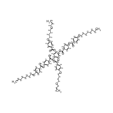 C=CCOCCCCOc1ccc(C(=O)Oc2cc(OC(=O)c3ccc(OC(=O)c4ccc(OCCCCCCCC)cc4)cc3)c(OC(=O)c3ccc(OCCCCOCC=C)cc3)cc2OC(=O)c2ccc(OC(=O)c3ccc(OCCCCCCCC)cc3)cc2)cc1